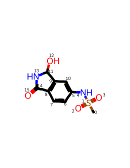 CS(=O)(=O)Nc1ccc2c(c1)C(O)NC2=O